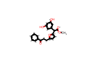 COC(=O)C(c1cc(O)cc(O)c1)c1ccc(CCC(=O)c2ccccc2)o1